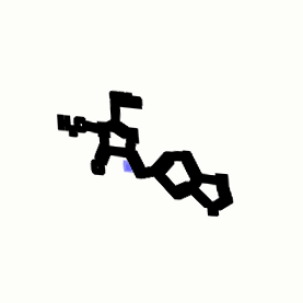 CSC1=N/C(=C\c2ccc3ncsc3c2)C(=O)N1C